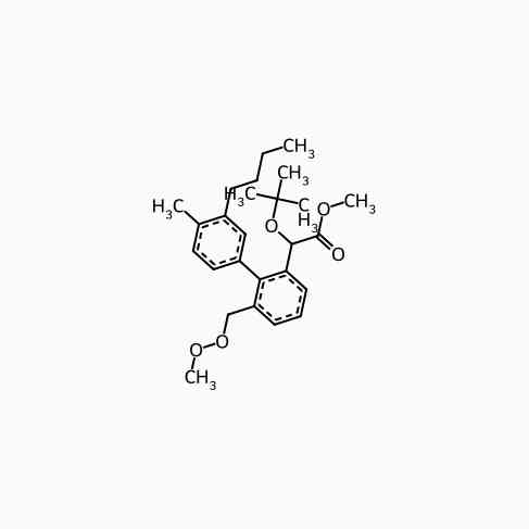 CCCCc1cc(-c2c(COOC)cccc2C(OC(C)(C)C)C(=O)OC)ccc1C